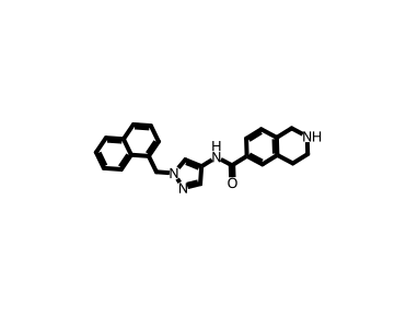 O=C(Nc1cnn(Cc2cccc3ccccc23)c1)c1ccc2c(c1)CCNC2